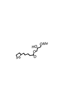 COCC(O)COC(=O)CCCCC1CCSS1